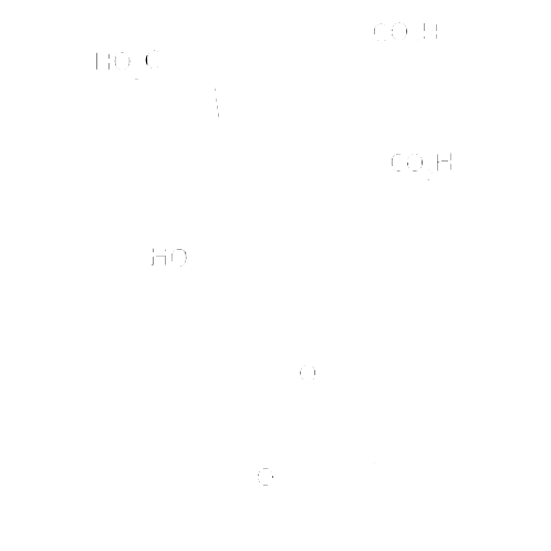 C=C(C)C(=O)OC(C)C(O)Cc1cc(C(=O)O)cc(C(=O)O)c1C(=O)O